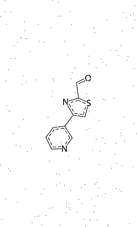 O=Cc1nc(-c2cccnc2)cs1